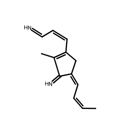 C/C=C\C=C1\CC(/C=C\C=N)=C(C)C1=N